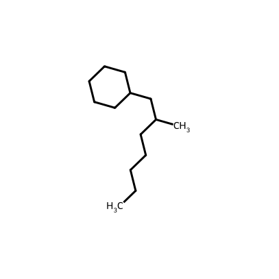 CCCCCC(C)CC1CCCCC1